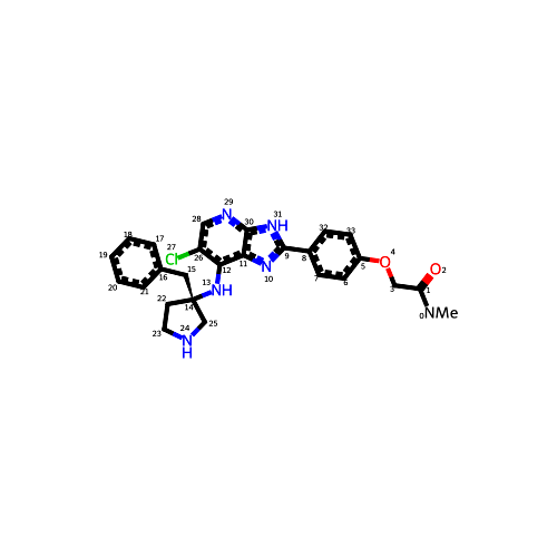 CNC(=O)COc1ccc(-c2nc3c(N[C@@]4(Cc5ccccc5)CCNC4)c(Cl)cnc3[nH]2)cc1